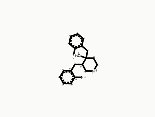 OC1(Cc2ccccc2F)CCNCC1Cc1ccccc1F